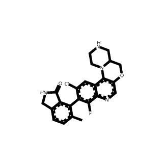 Cc1ccc2c(c1-c1c(Cl)cc3c4c(cnc3c1F)OCC1CNCCN41)C(=O)NC2